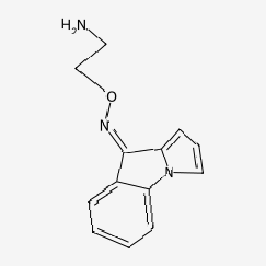 NCCO/N=C1/c2ccccc2-n2cccc21